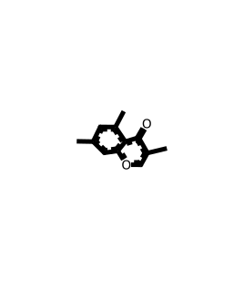 Cc1cc(C)c2c(=O)c(C)coc2c1